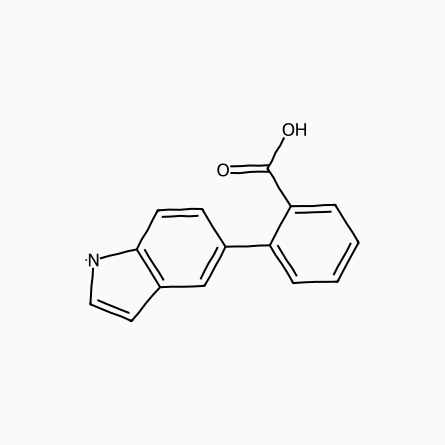 O=C(O)c1ccccc1-c1ccc2c(c1)C=C[N]2